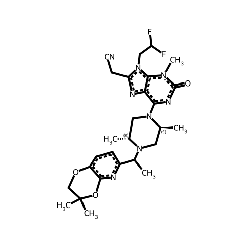 CC(c1ccc2c(n1)OC(C)(C)CO2)N1C[C@H](C)N(c2nc(=O)n(C)c3c2nc(CC#N)n3CC(F)F)C[C@H]1C